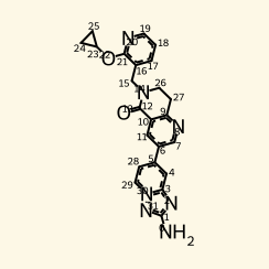 Nc1nc2cc(-c3cnc4c(c3)C(=O)N(Cc3cccnc3OC3CC3)CC4)ccn2n1